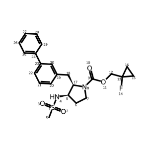 CS(=O)(=O)N[C@@H]1CCN(C(=O)OCC2(F)CC2)[C@@H]1Cc1cccc(-c2ccccc2)c1